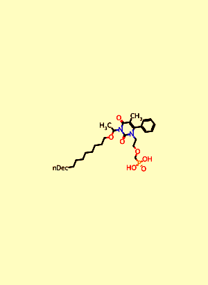 CCCCCCCCCCCCCCCCCCOC(C)n1c(=O)c(C)c(-c2ccccc2)n(CCOCP(=O)(O)O)c1=O